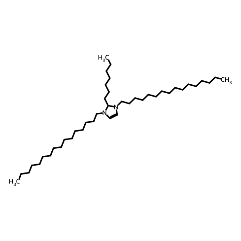 CCCCCCCCCCCCCCCCN1C=CN(CCCCCCCCCCCCCCCC)C1CCCCCCC